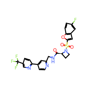 O=C(NCc1cc(-c2ccc(C(F)(F)F)cn2)ccn1)[C@@H]1CCN1S(=O)(=O)c1cc2cc(F)ccc2o1